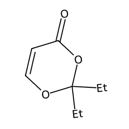 CCC1(CC)OC=CC(=O)O1